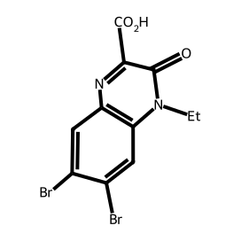 CCn1c(=O)c(C(=O)O)nc2cc(Br)c(Br)cc21